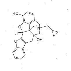 Oc1ccc2c3c1O[C@H]1c4oc5ccccc5c4CC4(O)C(C2)N(CC2CC2)CCC314